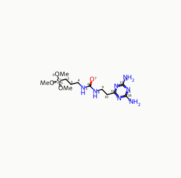 CO[Si](CCCNC(=O)NCCc1nc(N)nc(N)n1)(OC)OC